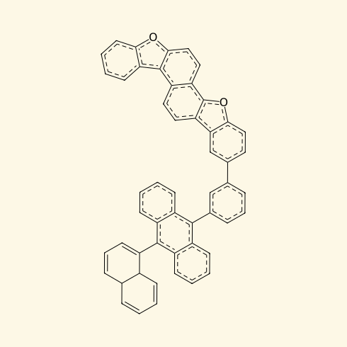 C1=CC2C=CC=C(c3c4ccccc4c(-c4cccc(-c5ccc6oc7c(ccc8c7ccc7oc9ccccc9c78)c6c5)c4)c4ccccc34)C2C=C1